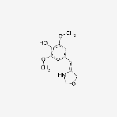 COc1cc(C=C2COCN2)cc(OC)c1O